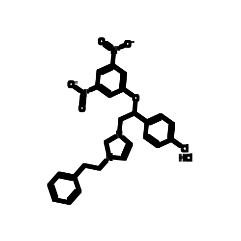 Cl.O=[N+]([O-])c1cc(OC(CN2C=CN(CCc3ccccc3)C2)c2ccc(Cl)cc2)cc([N+](=O)[O-])c1